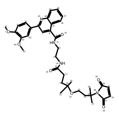 COc1ccc(-c2cc(C(=O)NCCNC(=O)CCC(C)(C)OCCC(C)(C)N3C(=O)C=CC3=O)c3ccccc3n2)cc1OC